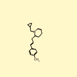 Cc1ccc(/C=C/CC2CCCCN2CC2CC2)cc1